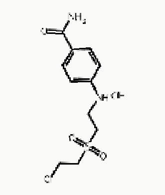 Cl.NC(=O)c1ccc(NCCS(=O)(=O)CCCl)cc1